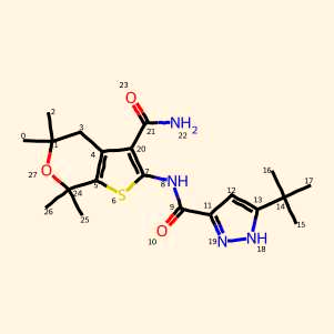 CC1(C)Cc2c(sc(NC(=O)c3cc(C(C)(C)C)[nH]n3)c2C(N)=O)C(C)(C)O1